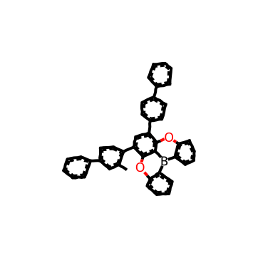 Cc1cc(-c2ccccc2)ccc1-c1cc(-c2ccc(-c3ccccc3)cc2)c2c3c1Oc1ccccc1B3c1ccccc1O2